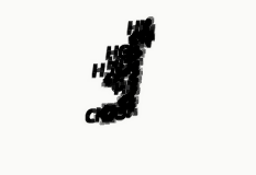 CNc1ncnc2c1ccn2[C@@H]1C[C@H](CN(CCCNCc2ccc(Oc3ccc(Cl)cc3)c(F)c2)CC[C@H](N)C(=O)OC)[C@@H](O)[C@H]1O